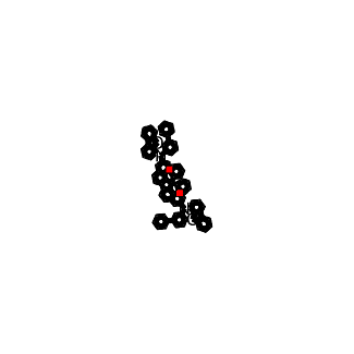 c1ccc(-c2cccc(N(c3ccc4c5c(ccc4c3)-c3ccc4cc(N(c6cccc(-c7ccccc7)c6)c6cccc7c6oc6ccccc67)ccc4c3C5(c3ccccc3)c3ccccc3)c3cccc4c3oc3ccccc34)c2)cc1